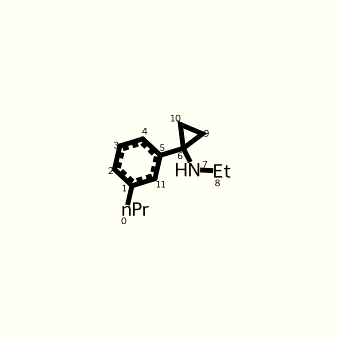 CCCc1cccc(C2(NCC)CC2)c1